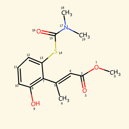 COC(=O)C=C(C)c1c(O)cccc1SC(=O)N(C)C